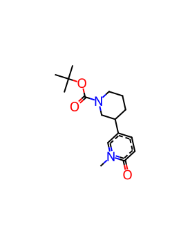 Cn1cc(C2CCCN(C(=O)OC(C)(C)C)C2)ccc1=O